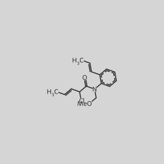 CC=Cc1ccccc1N(COC)C(=O)C(Cl)C=CC